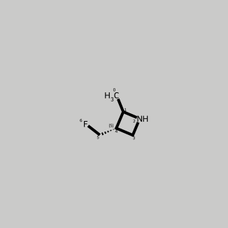 CC1NC[C@@H]1CF